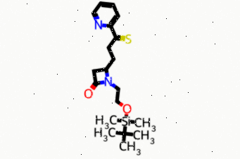 CC(C)(C)[Si](C)(C)OCCN1C(=O)CC1CCC(=S)c1ccccn1